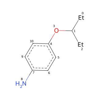 CCC(CC)Oc1ccc(N)cc1